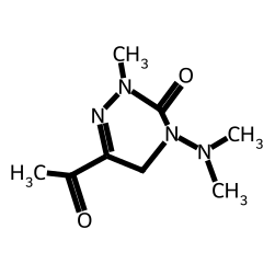 CC(=O)C1=NN(C)C(=O)N(N(C)C)C1